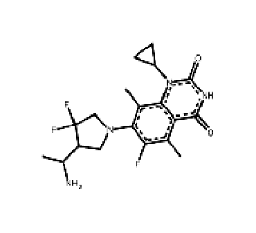 Cc1c(F)c(N2CC(C(C)N)C(F)(F)C2)c(C)c2c1c(=O)[nH]c(=O)n2C1CC1